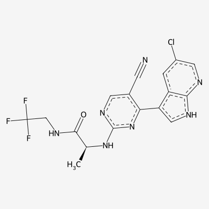 C[C@H](Nc1ncc(C#N)c(-c2c[nH]c3ncc(Cl)cc23)n1)C(=O)NCC(F)(F)F